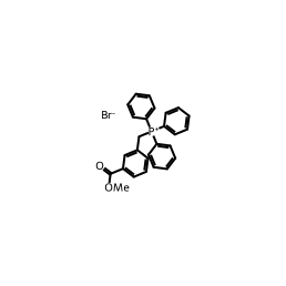 COC(=O)c1cccc(C[P+](c2ccccc2)(c2ccccc2)c2ccccc2)c1.[Br-]